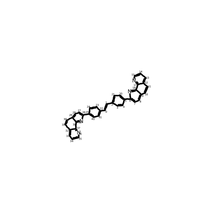 C(=C\c1ccc(-c2ccc3ccc4cccnc4c3n2)cc1)/c1ccc(-c2ccc3ccc4cccnc4c3n2)cc1